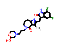 Cc1c(C=C2C(=O)Nc3c(Br)cc(F)cc32)[nH]c2c1C(=O)N(CCCN1CCOC(O)C1)CCC2